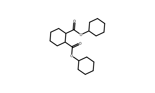 O=C(OC1CCCCC1)C1CCCCC1C(=O)OC1CCCCC1